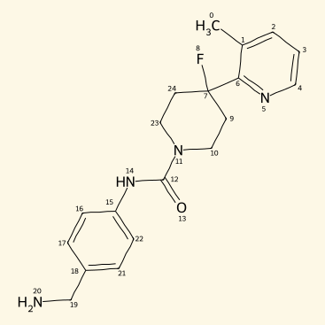 Cc1cccnc1C1(F)CCN(C(=O)Nc2ccc(CN)cc2)CC1